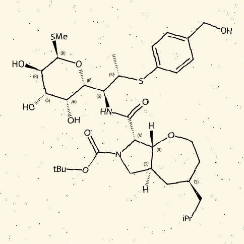 CS[C@H]1O[C@H]([C@H](NC(=O)[C@@H]2[C@@H]3OCC[C@@H](CC(C)C)C[C@H]3CN2C(=O)OC(C)(C)C)[C@H](C)Sc2ccc(CO)cc2)[C@H](O)[C@H](O)[C@H]1O